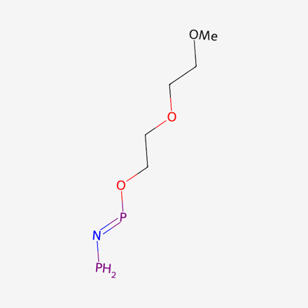 COCCOCCOP=NP